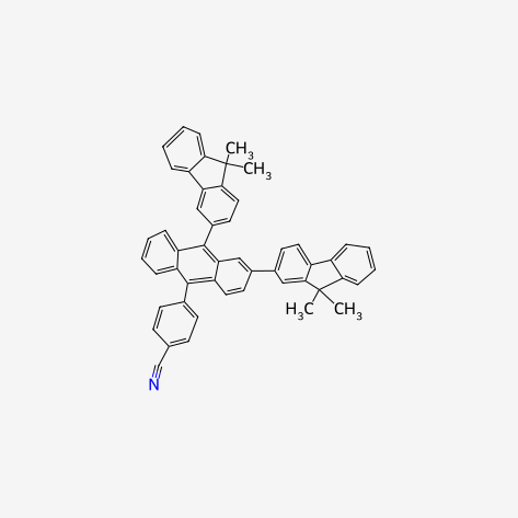 CC1(C)c2ccccc2-c2cc(-c3c4ccccc4c(-c4ccc(C#N)cc4)c4ccc(-c5ccc6c(c5)C(C)(C)c5ccccc5-6)cc34)ccc21